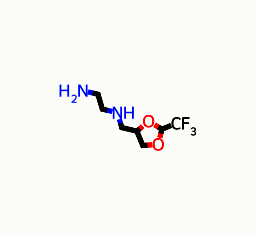 NCCNCC1COC(C(F)(F)F)O1